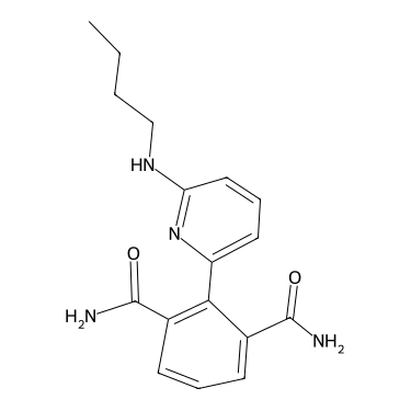 CCCCNc1cccc(-c2c(C(N)=O)cccc2C(N)=O)n1